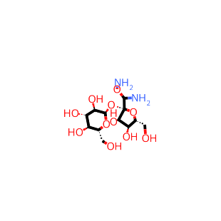 NOC(N)[C@@]1(O[C@H]2O[C@H](CO)[C@@H](O)[C@H](O)[C@H]2O)O[C@H](CO)[C@@H](O)[C@@H]1O